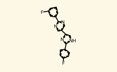 Fc1ccc(-c2nc(-c3cnc(-c4cccc(F)c4)nc3)c[nH]2)cc1